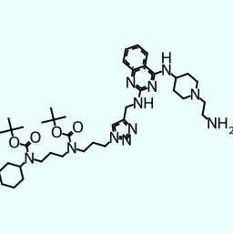 CC(C)(C)OC(=O)N(CCCN(C(=O)OC(C)(C)C)C1CCCCC1)CCCn1cc(CNc2nc(NC3CCN(CCN)CC3)c3ccccc3n2)nn1